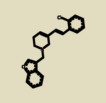 Clc1ccccc1C=CC1=CCCN(Cc2coc3ccccc23)C1